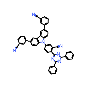 N#Cc1cccc(-c2ccc3c(c2)c2cc(-c4cccc(C#N)c4)ccc2n3-c2ccc(-c3nc(-c4ccccc4)nc(-c4ccccc4)n3)c(C#N)c2)c1